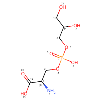 N[C@H](COP(=O)(O)OCC(O)CO)C(=O)O